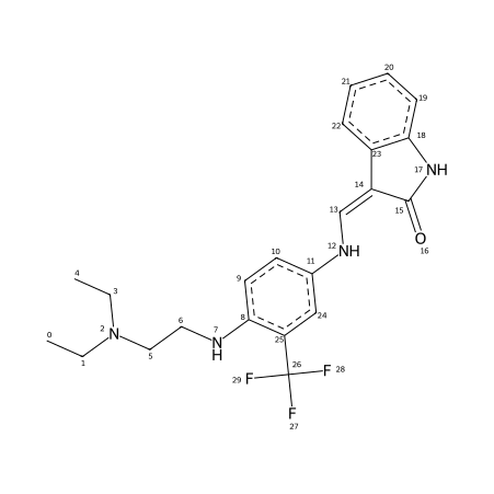 CCN(CC)CCNc1ccc(NC=C2C(=O)Nc3ccccc32)cc1C(F)(F)F